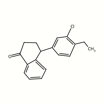 CCc1ccc(C2CCC(=O)c3ccccc32)cc1Cl